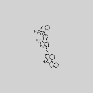 CC1CCc2ccccc2N1c1cccc2c(/C=C/c3ccc4c(c3)C(C)(C)c3cc(N5c6ccccc6C=CC5(C)C)ccc3-4)cccc12